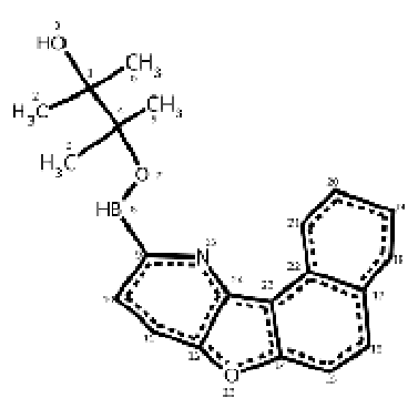 CC(C)(O)C(C)(C)OBc1ccc2oc3ccc4ccccc4c3c2n1